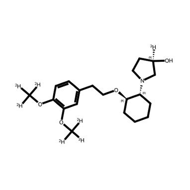 [2H]C([2H])([2H])Oc1ccc(CCO[C@@H]2CCCC[C@H]2N2CC[C@@]([2H])(O)C2)cc1OC([2H])([2H])[2H]